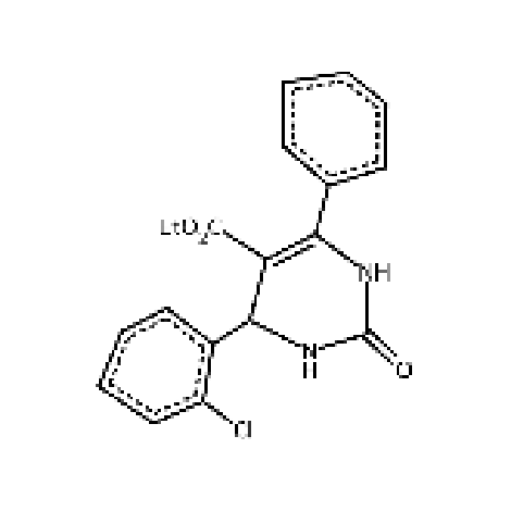 CCOC(=O)C1=C(c2ccccc2)NC(=O)NC1c1ccccc1Cl